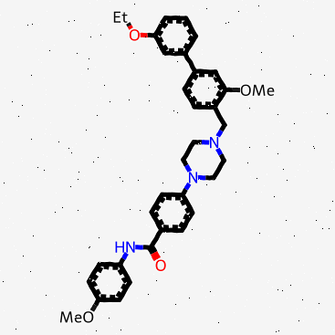 CCOc1cccc(-c2ccc(CN3CCN(c4ccc(C(=O)Nc5ccc(OC)cc5)cc4)CC3)c(OC)c2)c1